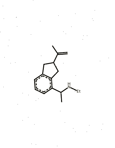 C=C(C)C1Cc2cccc(C(C)NCC)c2C1